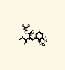 CCC(=O)C(=Cc1cccc2nsnc12)C(=O)OC(C)C